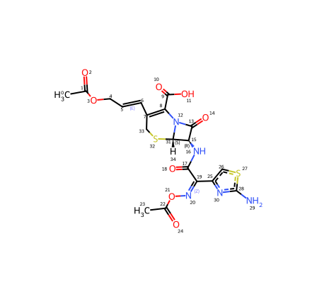 CC(=O)OC/C=C/C1=C(C(=O)O)N2C(=O)[C@@H](NC(=O)/C(=N\OC(C)=O)c3csc(N)n3)[C@@H]2SC1